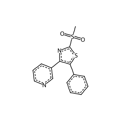 CS(=O)(=O)c1nc(-c2cccnc2)c(-c2ccccc2)s1